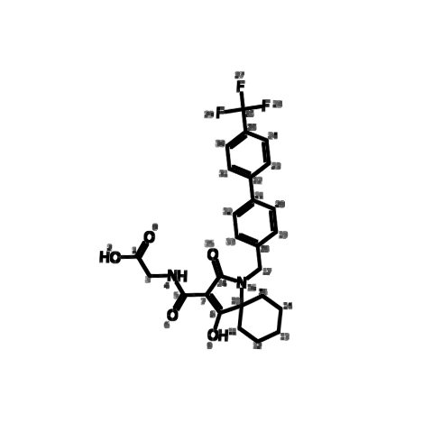 O=C(O)CNC(=O)C1=C(O)C2(CCCCC2)N(Cc2ccc(-c3ccc(C(F)(F)F)cc3)cc2)C1=O